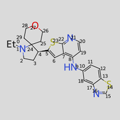 CCN1CC[C@H](c2cc3c(Nc4ccc5scnc5c4)ccnc3s2)C12CCOCC2